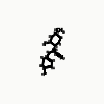 CN1CC[C@@H](N(C#N)Cc2ccc(F)cc2)[C@@H](F)C1